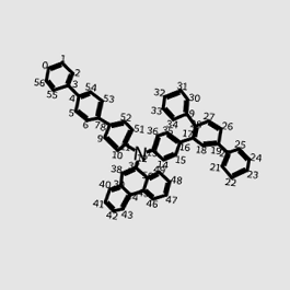 c1ccc(-c2ccc(-c3ccc(N(c4ccc(-c5cc(-c6ccccc6)ccc5-c5ccccc5)cc4)c4cc5ccccc5c5ccccc45)cc3)cc2)cc1